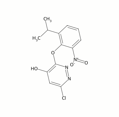 CC(C)c1cccc([N+](=O)[O-])c1Oc1nnc(Cl)cc1O